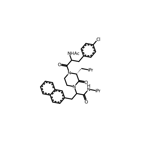 CC(=O)NC(Cc1ccc(Cl)cc1)C(=O)N1CCN(C(Cc2ccc3ccccc3c2)C(=O)NC(C)C)C(=O)[C@H]1CC(C)C